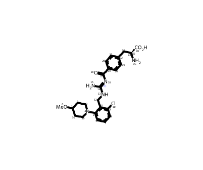 COC1CCN(c2cccc(Cl)c2CN/C(N)=N/C(=O)c2ccc(C[C@H](N)C(=O)O)cc2)CC1